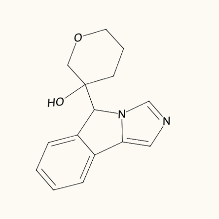 OC1(C2c3ccccc3-c3cncn32)CCCOC1